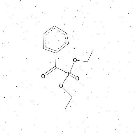 CCOP(=O)(OCC)C(=O)c1ccccc1